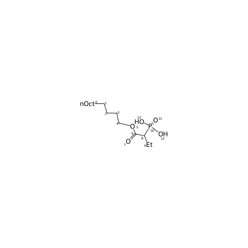 CCCCCCCCCCCCOC(=O)C(CC)P(=O)(O)O